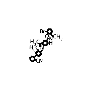 Cc1c(C)n(Cc2ccc(-c3ccccc3C#N)cc2)c2ccc(C(=O)NC(C)c3cccc(Br)c3)cc12